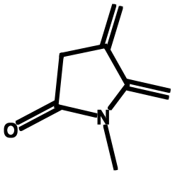 C=C1CC(=O)N(C)C1=C